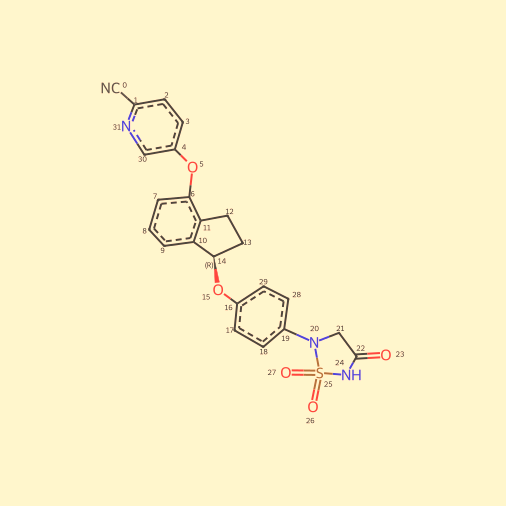 N#Cc1ccc(Oc2cccc3c2CC[C@H]3Oc2ccc(N3CC(=O)NS3(=O)=O)cc2)cn1